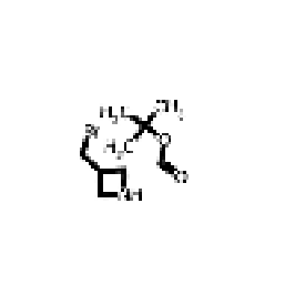 BrCC1CNC1.CC(C)(C)OC=O